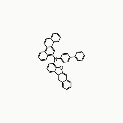 c1ccc(-c2ccc(N(c3cc4c5ccccc5ccc4c4ccccc34)c3cccc4c3oc3cc5ccccc5cc34)cc2)cc1